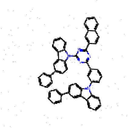 c1ccc(-c2ccc3c(c2)c2ccccc2n3-c2cccc(-c3nc(-c4ccc5ccccc5c4)nc(-n4c5ccccc5c5cc(-c6ccccc6)ccc54)n3)c2)cc1